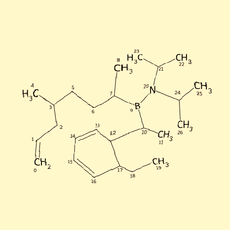 C=CCC(C)CCC(C)B(C(C)C1C=CC=CC1CC)N(C(C)C)C(C)C